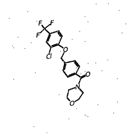 O=C(c1ccc(COc2ccc(C(F)(F)F)cc2Cl)cc1)N1CCOCC1